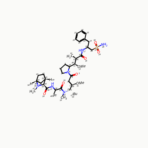 CC[C@H](C)[C@@H]([C@@H](CC(=O)N1CCCC1[C@H](OC)[C@@H](C)C(=O)NC(Cc1ccccc1)CS(N)(=O)=O)OC)N(C)C(=O)C(NC(=O)[C@@H]1[C@H]2CC[C@H](C2)N1C)C(C)C